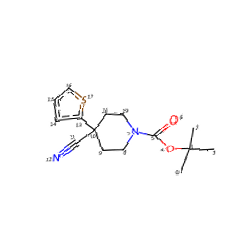 CC(C)(C)OC(=O)N1CCC(C#N)(c2cccs2)CC1